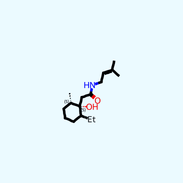 CCC1CCC[C@H](C)[C@@]1(O)CC(=O)NCC=C(C)C